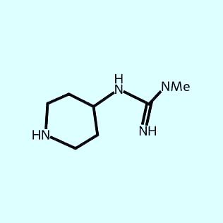 CNC(=N)NC1CCNCC1